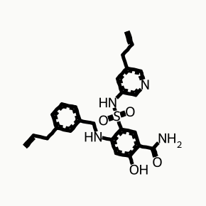 C=CCc1cccc(CNc2cc(O)c(C(N)=O)cc2S(=O)(=O)Nc2cncc(CC=C)c2)c1